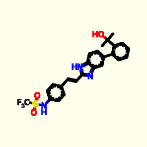 CC(C)(O)c1ccccc1-c1ccc2[nH]c(/C=C/c3ccc(NS(=O)(=O)C(F)(F)F)cc3)nc2c1